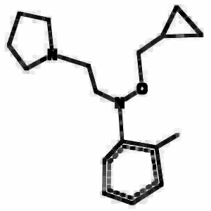 Cc1ccccc1N(CCN1CCCC1)OCC1CC1